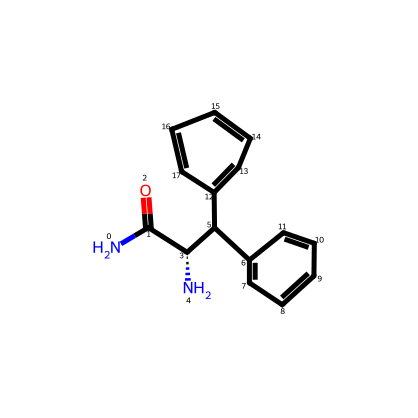 NC(=O)[C@@H](N)C(c1ccccc1)c1ccccc1